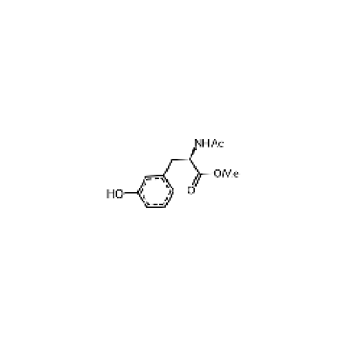 COC(=O)[C@@H](Cc1cccc(O)c1)NC(C)=O